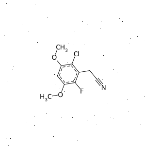 COc1cc(OC)c(Cl)c(CC#N)c1F